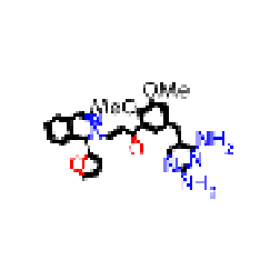 COc1cc(Cc2cnc(N)nc2N)cc(C(=O)/C=C/N2N=Cc3ccccc3[C@@H]2c2ccco2)c1OC